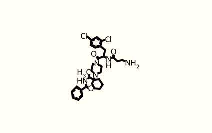 CC(NC(=O)c1ccccc1)C1(N2CCN(C(=O)C(Cc3ccc(Cl)cc3Cl)NC(=O)CCN)CC2)CCCCC1